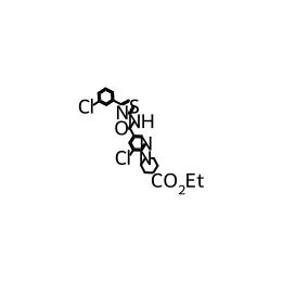 CCOC(=O)C1CCN(c2ncc(C(=O)Nc3nc(-c4cccc(Cl)c4)cs3)cc2Cl)CC1